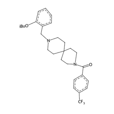 CC(C)COc1ccccc1CN1CCC2(CC1)CCN(C(=O)c1ccc(C(F)(F)F)cc1)CC2